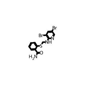 NC(=O)c1ccccc1SCNc1ncc(Br)cc1Br